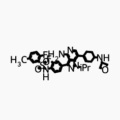 Cc1ccc(F)c(S(=O)(=O)Nc2ccc(-c3nn(C(C)C)c4c(C5=CCC(NC6COC6)CC5)cnc(N)c34)cc2F)c1